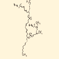 CCCCCCCCCCC(CCCCCCCCCC(=O)OCC(CCCC)CCCCCC)OC(=O)OCCN(CC)CCN(CC)CC